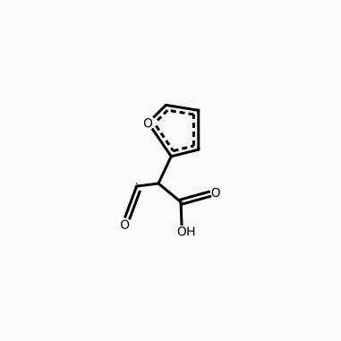 O=[C]C(C(=O)O)c1ccco1